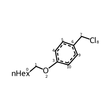 CCCCCCCOc1ccc(CCl)cc1